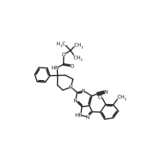 Cc1cccc(-c2n[nH]c3nc(N4CCC(NC(=O)OC(C)(C)C)(c5ccccc5)CC4)nc(C#N)c23)c1Cl